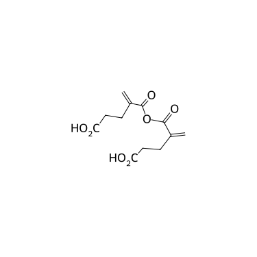 C=C(CCC(=O)O)C(=O)OC(=O)C(=C)CCC(=O)O